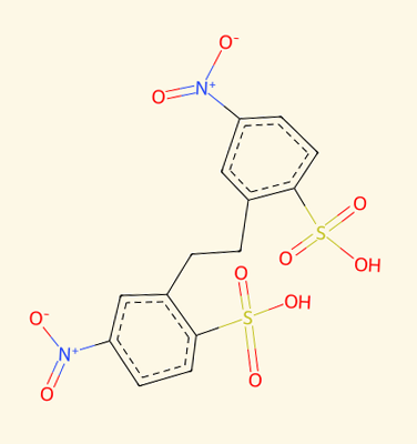 O=[N+]([O-])c1ccc(S(=O)(=O)O)c(CCc2cc([N+](=O)[O-])ccc2S(=O)(=O)O)c1